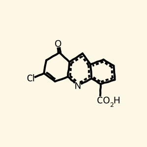 O=C1CC(Cl)=Cc2nc3c(C(=O)O)cccc3cc21